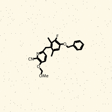 [C-]#[N+]c1nc(Cc2c(C)cc(OCc3ccccc3)c(F)c2C)ccc1OCOC